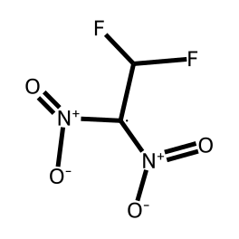 O=[N+]([O-])[C](C(F)F)[N+](=O)[O-]